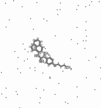 CCCCOc1ccc(N(C)C(=N)Nc2ccc3cccc4c3c2C=C4)cc1